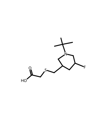 CC(C)(C)N1CC(F)CC(CSCC(=O)O)C1